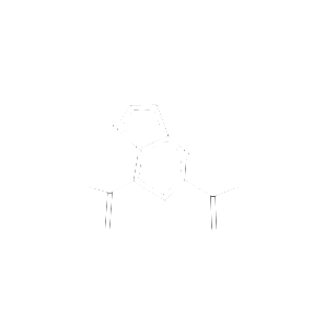 C=C(OC)c1cc(C(=C)O)n2nccc2n1